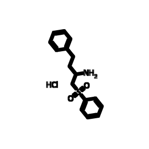 Cl.NC(CCc1ccccc1)CS(=O)(=O)c1ccccc1